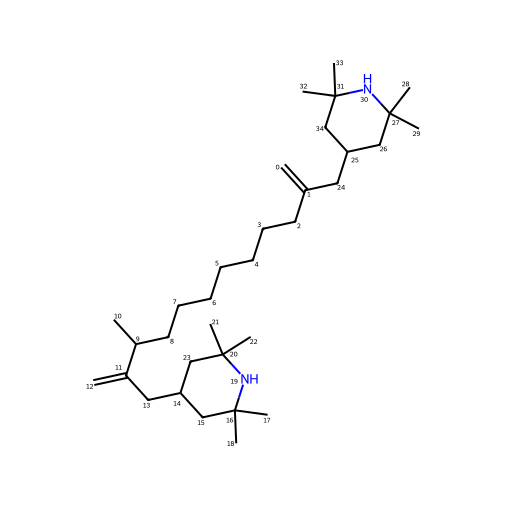 C=C(CCCCCCCC(C)C(=C)CC1CC(C)(C)NC(C)(C)C1)CC1CC(C)(C)NC(C)(C)C1